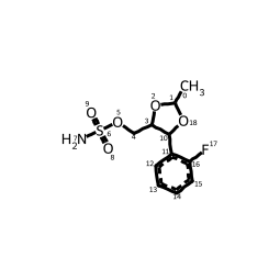 CC1OC(COS(N)(=O)=O)C(c2ccccc2F)O1